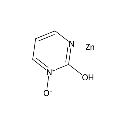 [O-][n+]1cccnc1O.[Zn]